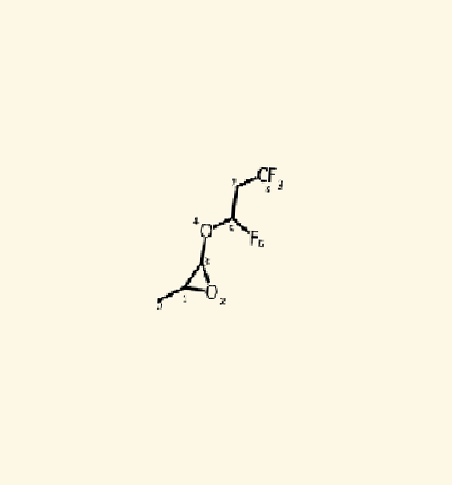 CC1OC1OC(F)CC(F)(F)F